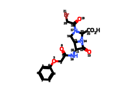 O=C(COc1ccccc1)N[C@@H]1C(=O)N2C1CN(C(=O)CBr)C2C(=O)O